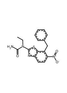 CCN(C(N)=O)c1nc2ccc([N+](=O)[O-])c(Cc3ccccc3)c2s1